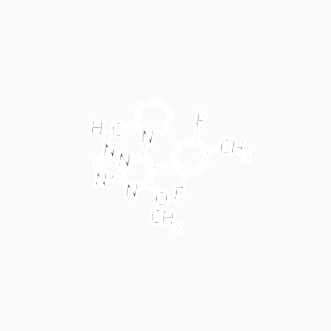 COc1nc2ncnn2c(N2CCCCC2C)c1-c1cc(F)c(C)cc1F